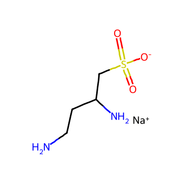 NCCC(N)CS(=O)(=O)[O-].[Na+]